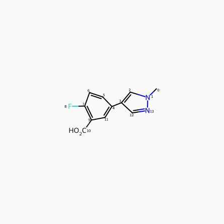 Cn1cc(-c2ccc(F)c(C(=O)O)c2)cn1